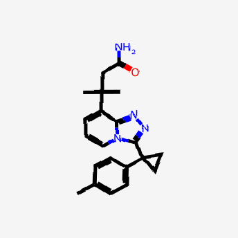 Cc1ccc(C2(c3nnc4c(C(C)(C)CC(N)=O)cccn34)CC2)cc1